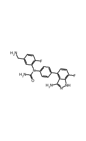 NCc1ccc(F)c(N(C(N)=O)c2ccc(-c3ccc(F)c4[nH]nc(N)c34)cc2)c1